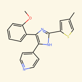 COc1ccccc1-c1nc(-c2cc(C)cs2)[nH]c1-c1ccncc1